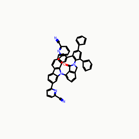 N#Cc1cccc(-c2ccc3c4ccc(-c5cccc(C#N)n5)cc4n(-c4cccc5c4C(=O)N(c4c(-c6ccccc6)cc(-c6ccccc6)cc4-c4ccccc4)C5)c3c2)n1